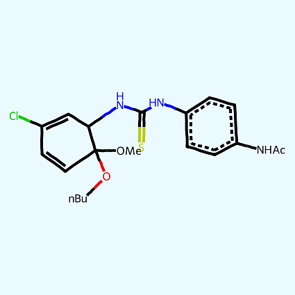 CCCCOC1(OC)C=CC(Cl)=CC1NC(=S)Nc1ccc(NC(C)=O)cc1